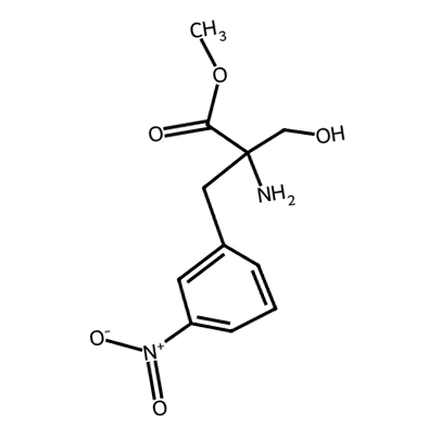 COC(=O)C(N)(CO)Cc1cccc([N+](=O)[O-])c1